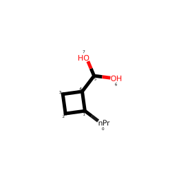 CCCC1CCC1C(O)O